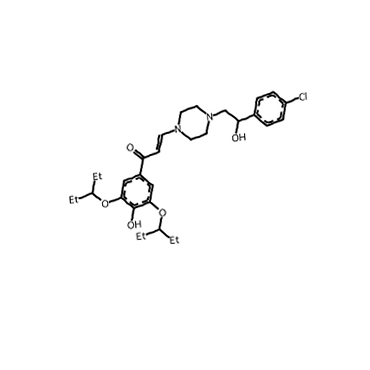 CCC(CC)Oc1cc(C(=O)C=CN2CCN(CC(O)c3ccc(Cl)cc3)CC2)cc(OC(CC)CC)c1O